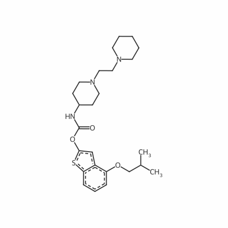 CC(C)COc1cccc2sc(OC(=O)NC3CCN(CCN4CCCCC4)CC3)cc12